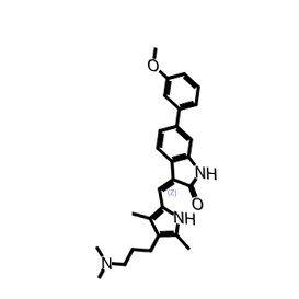 COc1cccc(-c2ccc3c(c2)NC(=O)/C3=C\c2[nH]c(C)c(CCCN(C)C)c2C)c1